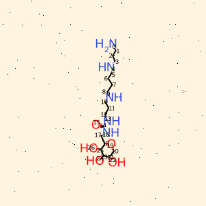 NCCCNCCCCNCCCNC(=O)NCC1OCC(O)C(O)C1O